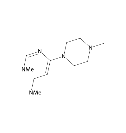 CN/C=N\C(=C/CNC)N1CCN(C)CC1